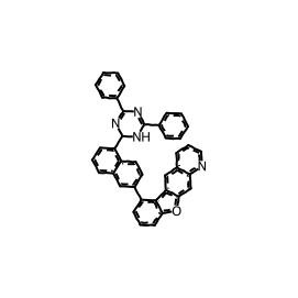 c1ccc(C2=NC(c3cccc4cc(-c5cccc6oc7cc8ncccc8cc7c56)ccc34)NC(c3ccccc3)=N2)cc1